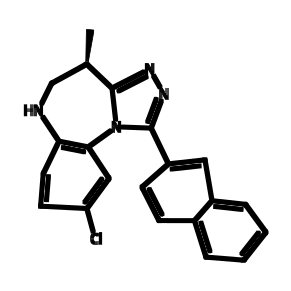 C[C@@H]1CNc2ccc(Cl)cc2-n2c(-c3ccc4ccccc4c3)nnc21